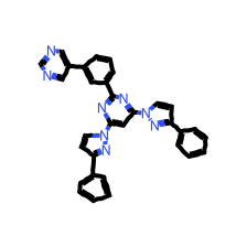 c1ccc(-c2ccn(-c3cc(-n4ccc(-c5ccccc5)n4)nc(-c4cccc(-c5cncnc5)c4)n3)n2)cc1